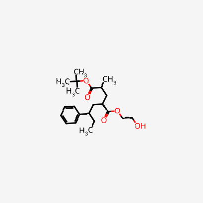 CCC(CC(CC(C)C(=O)OC(C)(C)C)C(=O)OCCO)c1ccccc1